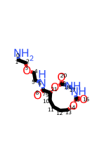 NCCOCCNC(=O)C1CCCCOC(=O)NNC(=O)O1